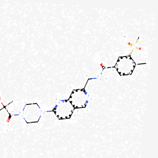 Cc1ccc(C(=O)NCc2cc3nc(N4CCN(C(=O)C(C)(C)O)CC4)ccc3cn2)cc1S(C)(=O)=O